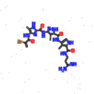 C=C(Br)C(=O)Nc1nc(C(=O)Nc2n[nH]c(C(=O)Nc3c[nH]c(C(=O)NCCC(=N)N)c3C)c2C)[nH]c1C